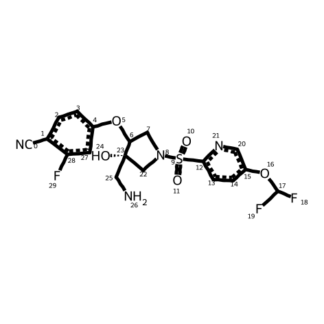 N#Cc1ccc(OC2CN(S(=O)(=O)c3ccc(OC(F)F)cn3)C[C@@]2(O)CN)cc1F